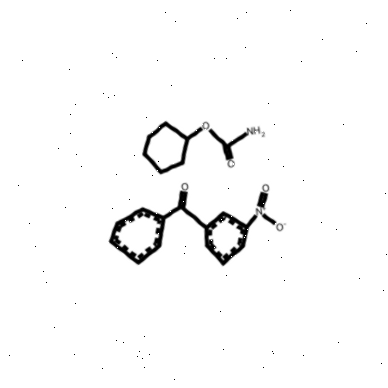 NC(=O)OC1CCCCC1.O=C(c1ccccc1)c1cccc([N+](=O)[O-])c1